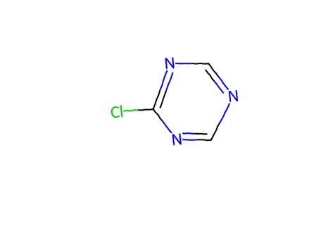 Clc1ncncn1